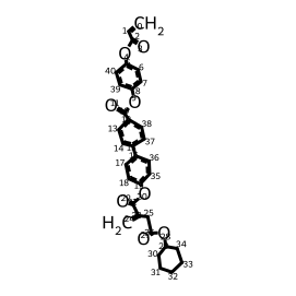 C=CC(=O)Oc1ccc(OC(=O)c2ccc(-c3ccc(OC(=O)C(=C)CC(=O)OC4CCCCC4)cc3)cc2)cc1